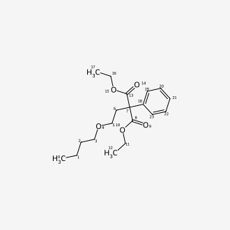 CCCCOCCC(C(=O)OCC)(C(=O)OCC)c1ccccc1